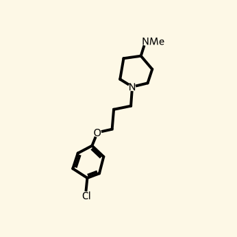 CNC1CCN(CCCOc2ccc(Cl)cc2)CC1